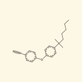 CCCCCC(C)(C)c1ccc(Oc2ccc([N+]#N)cc2)cc1